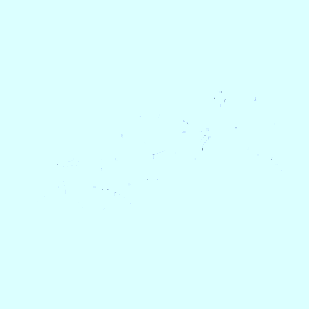 Cc1ccc2c(c1)C(C)(F)C(=O)N2CC1CCC(NC(=O)c2cc(Cl)cnc2C)CC1